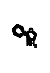 C1=NCCO1.N.c1ccncc1